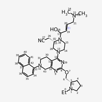 CCN1CCC[C@H]1COc1nc2c(c(N3CCN(C(O)/C=C/CN(C)C)[C@@H](CC#N)C3)n1)CCN(c1cccc3ccccc13)C2